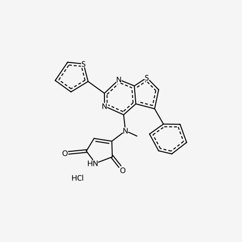 CN(C1=CC(=O)NC1=O)c1nc(-c2cccs2)nc2scc(-c3ccccc3)c12.Cl